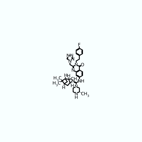 C[C@@H]1[C@@H](N=C(Nc2ccc3c(=O)n(CCc4ccc(F)cc4)c(Cn4cnnn4)nc3c2)N2CCN[C@@H](C)C2)C[C@H]2C[C@@H]1C2(C)C